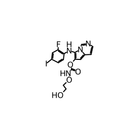 O=C(NOCCO)Oc1cc2ccncn2c1Nc1ccc(I)cc1F